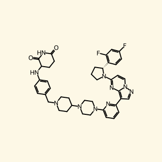 O=C1CCC(Nc2ccc(CN3CCC(N4CCN(c5cccc(-c6cnn7ccc(N8CCC[C@@H]8c8ccc(F)cc8F)nc67)n5)CC4)CC3)cc2)C(=O)N1